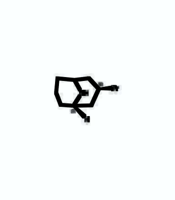 CC(C)[C@@H]1CC2CCC[C@@H](C1)N2